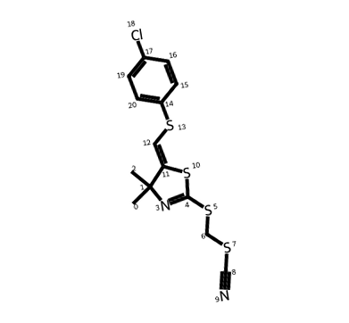 CC1(C)N=C(SCSC#N)SC1=CSc1ccc(Cl)cc1